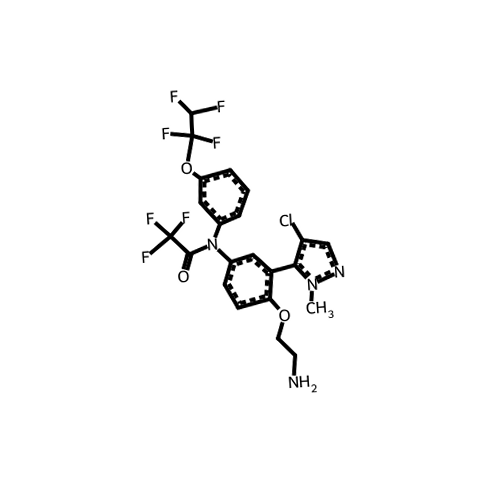 Cn1ncc(Cl)c1-c1cc(N(C(=O)C(F)(F)F)c2cccc(OC(F)(F)C(F)F)c2)ccc1OCCN